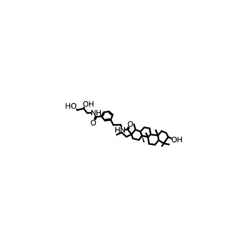 CCCC1(C(=O)NCCc2cccc(C(=O)NCC(O)CO)c2)CC[C@]2(C)C(CCC3C4(C)CCC(O)C(C)(C)C4CCC32C)C1C